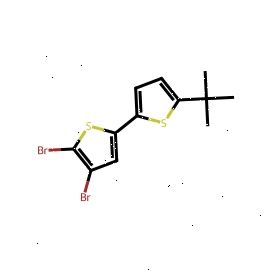 CC(C)(C)c1ccc(-c2cc(Br)c(Br)s2)s1